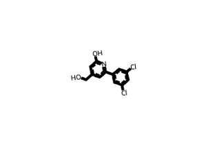 OCc1cc(O)nc(-c2cc(Cl)cc(Cl)c2)c1